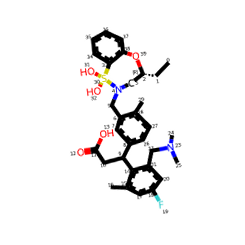 CC[C@@H]1CN(Cc2cc(C(CC(=O)O)c3c(C)cc(F)cc3CN(C)C)ccc2C)S(O)(O)c2ccccc2O1